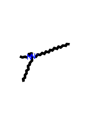 CCCCCCCCCCCCCCCCC[n+]1ccn(CCCC)c1CCCCCCCCCCC